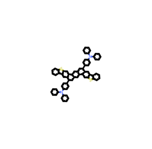 c1ccc(N(c2ccccc2)c2ccc(-c3cc4cc5c(cc(-c6ccc(N(c7ccccc7)c7ccccc7)cc6)c6cc7c(cc65)sc5ccccc57)cc4c4cc5sc6ccccc6c5cc34)cc2)cc1